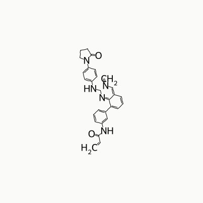 C=CC(=O)Nc1cccc(C2=CC=CC(=C/N=C)/C2=N\CNc2ccc(N3CCCC3=O)cc2)c1